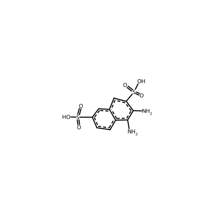 Nc1c(S(=O)(=O)O)cc2cc(S(=O)(=O)O)ccc2c1N